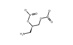 NC[C@H](CO[N+](=O)[O-])O[N+](=O)[O-]